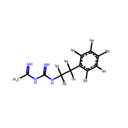 [2H]c1c([2H])c([2H])c(C([2H])([2H])C([2H])([2H])NC(=N)NC(C)=N)c([2H])c1[2H]